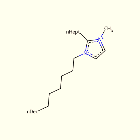 CCCCCCCCCCCCCCCCn1cc[n+](C)c1CCCCCCC